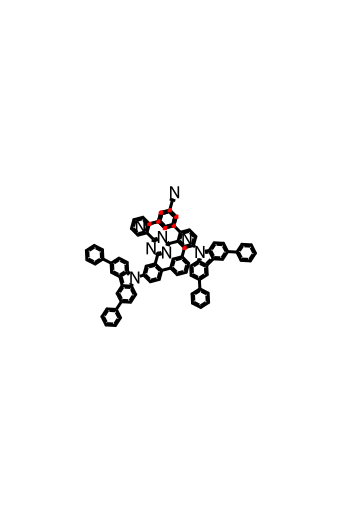 N#Cc1cccc(-c2ccccc2-c2nc(-c3cc(-n4c5ccc(-c6ccccc6)cc5c5cc(-c6ccccc6)ccc54)ccc3-c3cccc(C#N)c3)nc(-c3cc(-n4c5ccc(-c6ccccc6)cc5c5cc(-c6ccccc6)ccc54)ccc3-c3cccc(C#N)c3)n2)c1